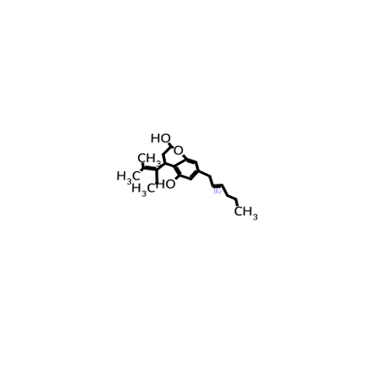 CCC/C=C/Cc1cc(O)c2c(c1)OC(O)CC2C(CC)=C(C)C